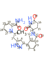 CC(Cc1cc(-c2cccc3c2CN(C2CCC(=O)NC2=O)C3=O)n[nH]1)N1C=CC=CC1C(N)=O